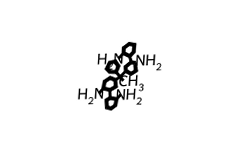 CC(c1ccccc1)(c1ccc(N)c(-c2ccccc2N)c1)c1ccc(N)c(-c2ccccc2N)c1